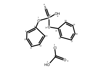 O=C(O)Cl.OP(=S)(Oc1ccccc1)Oc1ccccc1